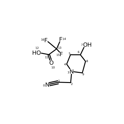 N#CCN1CCC(O)CC1.O=C(O)C(F)(F)F